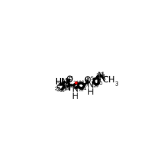 Cn1ncc2cc(NC(=O)c3ccc4[nH]c(-c5nc6cscc6[nH]c5=O)cc4c3)ccc21